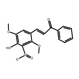 COc1cc(/C=C/C(=O)c2ccccc2)c(OC)c([N+](=O)[O-])c1O